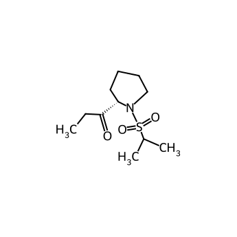 CCC(=O)[C@@H]1CCCCN1S(=O)(=O)C(C)C